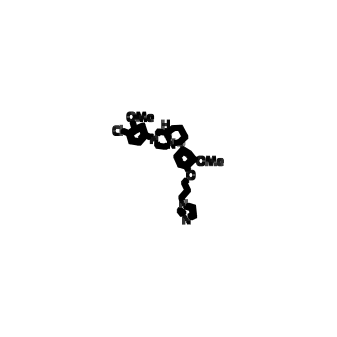 COc1cc(N2CCN3[C@@H](CCC[C@@H]3c3ccc(OCCCn4ccnc4)c(OC)c3)C2)ccc1Cl